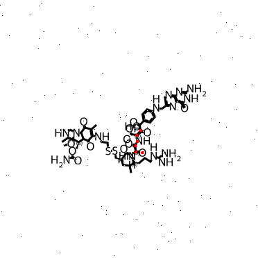 CO[C@]12C(C)NCN1C1C(=O)C(C)=C(NCCSSC[C@H](CC(C)[C@H](CCCNC(=N)N)NC(=O)CC[C@H](CC(=O)c3ccc(NCc4cnc5nc(N)[nH]c(=O)c5n4)cc3)C(=O)O)C(=O)N[C@@H](C)C(=O)NCC(=O)O)C(=O)C1[C@H]2COC(N)=O